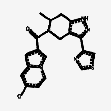 CC1Cc2[nH]nc(-c3cscn3)c2CN1C(=O)c1cc2cc(Cl)ccn2c1